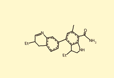 CCC1C=Nc2cc(-c3cc(C)c(C(N)=O)c4c3C(CC)CN4)ccc2C1